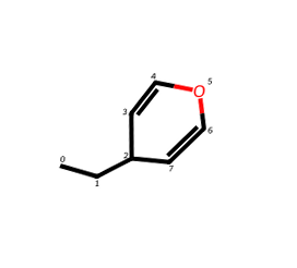 CCC1C=COC=C1